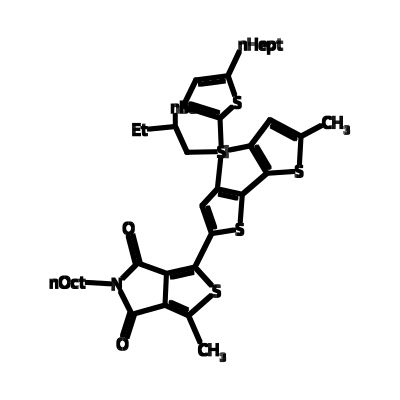 CCCCCCCCN1C(=O)c2c(C)sc(-c3cc4c(s3)-c3sc(C)cc3[Si]4(CC(CC)CCCC)c3ccc(CCCCCCC)s3)c2C1=O